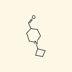 O=CC1CCN(C2CCC2)CC1